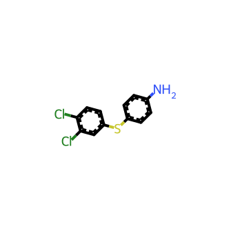 Nc1ccc(Sc2ccc(Cl)c(Cl)c2)cc1